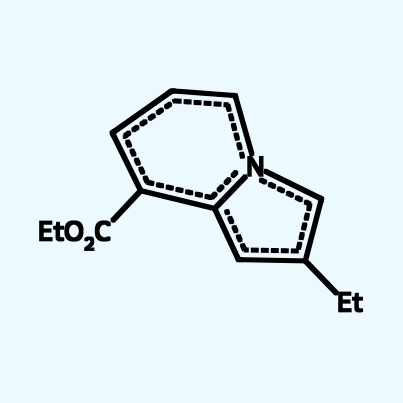 CCOC(=O)c1cccn2cc(CC)cc12